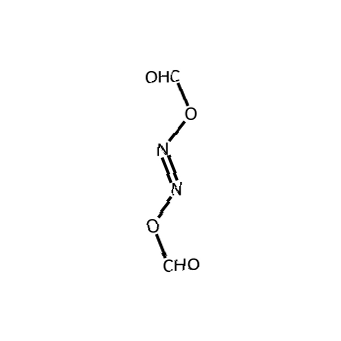 O=CON=NOC=O